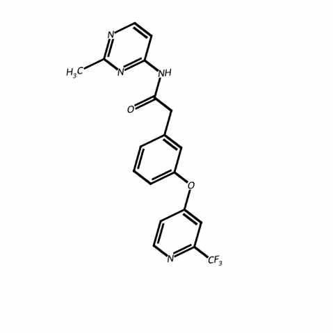 Cc1nccc(NC(=O)Cc2cccc(Oc3ccnc(C(F)(F)F)c3)c2)n1